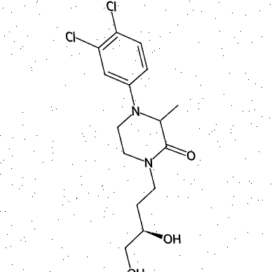 CC1C(=O)N(CC[C@@H](O)CO)CCN1c1ccc(Cl)c(Cl)c1